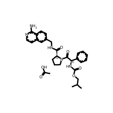 CC(=O)O.CC(C)COC(=O)N[C@@H](C(=O)N1CCC[C@H]1C(=O)NCc1ccc2c(N)nccc2c1)c1ccccc1